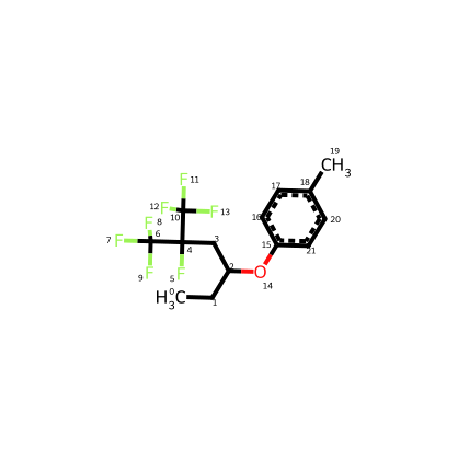 CCC(CC(F)(C(F)(F)F)C(F)(F)F)Oc1ccc(C)cc1